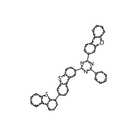 c1ccc(-c2nc(-c3ccc4c(c3)oc3ccccc34)nc(-c3ccc4sc5cc(-c6cccc7c6sc6ccccc67)ccc5c4c3)n2)cc1